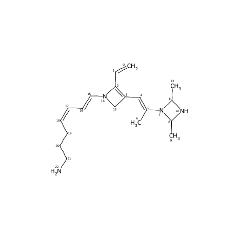 C=CC1=C(/C=C(\C)N2C(C)NC2C)CN1/C=C/C=C\CCCN